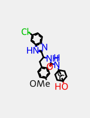 COc1ccc(CC(NC(=O)NC23CCC(O)(CC2)CC3)c2nc3ccc(Cl)cc3[nH]2)cc1